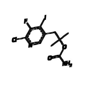 CC(C)(Cc1cnc(Cl)c(F)c1I)OC(N)=O